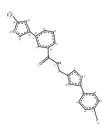 O=C(NCc1coc(-c2ccc(F)cc2)n1)c1cccc(-c2noc(C(F)(F)F)n2)c1